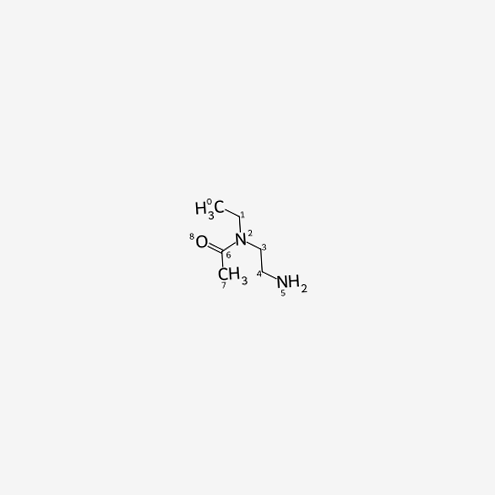 CCN(CCN)C(C)=O